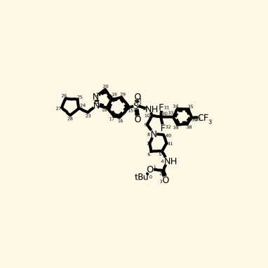 CC(C)(C)OC(=O)NC1CCN(CC(NS(=O)(=O)c2ccc3c(cnn3CC3CCCC3)c2)C(F)(F)c2ccc(C(F)(F)F)cc2)CC1